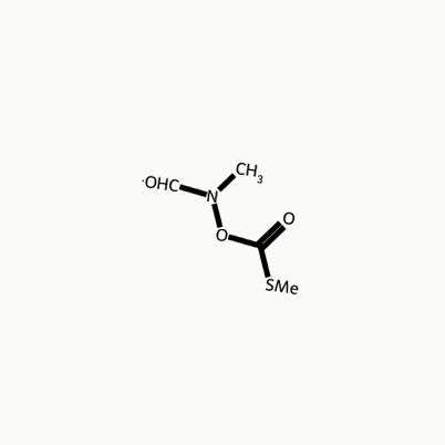 CSC(=O)ON(C)[C]=O